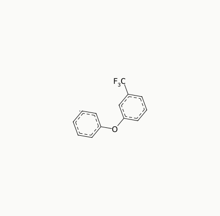 FC(F)(F)c1cccc(Oc2c[c]ccc2)c1